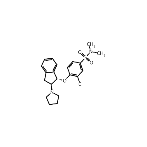 CN(C)S(=O)(=O)c1ccc(O[C@H]2c3ccccc3C[C@@H]2N2CCCC2)c(Cl)c1